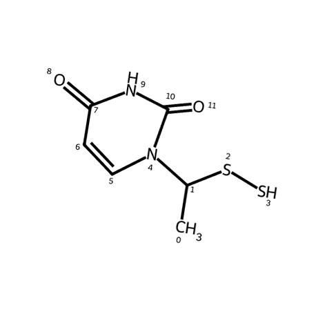 CC(SS)n1ccc(=O)[nH]c1=O